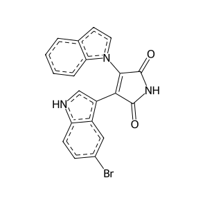 O=C1NC(=O)C(n2ccc3ccccc32)=C1c1c[nH]c2ccc(Br)cc12